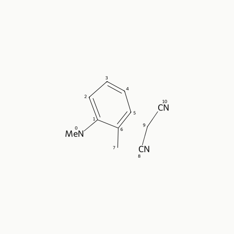 CNc1ccccc1C.N#CCC#N